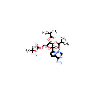 CC(C)C(=O)O[C@H]1[C@@H](OC(=O)C(C)C)[C@](C)(c2ccc3c(N)ncnn23)O[C@@H]1COC(=O)OC(C)(C)C